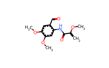 C=C(OC)C(=O)Nc1cc(OC)c(OC)cc1C=O